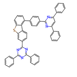 c1ccc(-c2cc(-c3ccccc3)nc(-c3ccc(-c4cccc5sc6cc(-c7nc(-c8ccccc8)nc(-c8ccccc8)n7)ccc6c45)cc3)n2)cc1